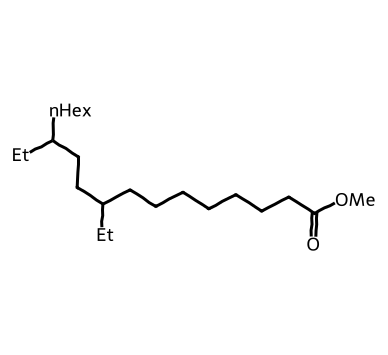 CCCCCCC(CC)CCC(CC)CCCCCCCC(=O)OC